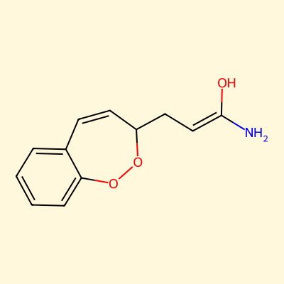 N/C(O)=C/CC1C=Cc2ccccc2OO1